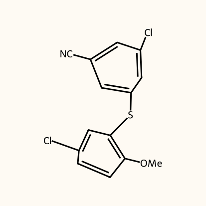 COc1ccc(Cl)cc1Sc1cc(Cl)cc(C#N)c1